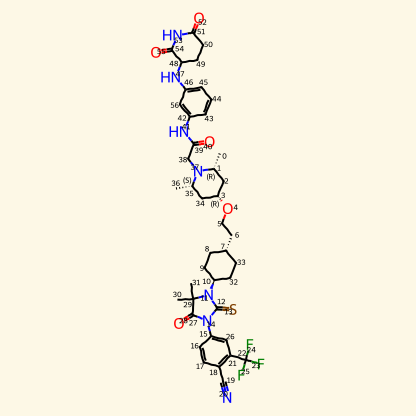 C[C@@H]1C[C@H](OCC[C@H]2CC[C@H](N3C(=S)N(c4ccc(C#N)c(C(F)(F)F)c4)C(=O)C3(C)C)CC2)C[C@H](C)N1CC(=O)Nc1cccc(NC2CCC(=O)NC2=O)c1